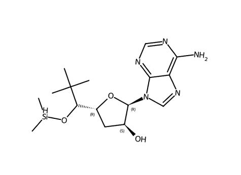 C[SiH](C)OC([C@H]1C[C@H](O)[C@H](n2cnc3c(N)ncnc32)O1)C(C)(C)C